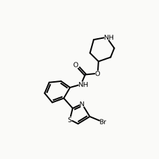 O=C(Nc1ccccc1-c1nc(Br)cs1)OC1CCNCC1